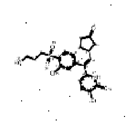 CCc1ccc(C(=C[C@H]2CCC(=O)C2)c2ccc(S(=O)(=O)CCCO)c(Cl)c2)[nH]c1=O